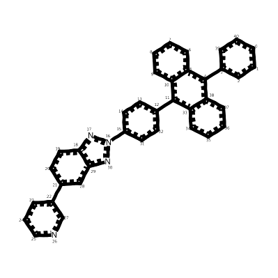 c1ccc(-c2c3ccccc3c(-c3ccc(-n4nc5ccc(-c6cccnc6)cc5n4)cc3)c3ccccc23)cc1